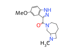 COc1ccc2[nH]nc(C(=O)N3CCCC4CN(C)C4C3)c2c1